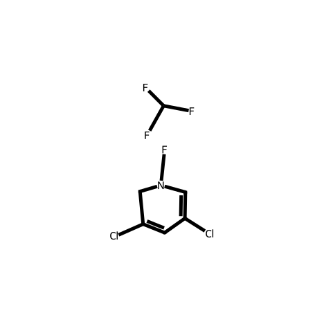 FC(F)F.FN1C=C(Cl)C=C(Cl)C1